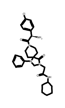 N[C@@H](C(=O)N1CCC2(CC1)C(=O)N(CC(=O)NC1CCCCC1)CN2c1ccccc1)c1ccc(Cl)cc1